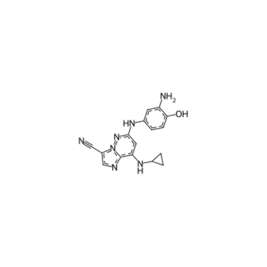 N#Cc1cnc2c(NC3CC3)cc(Nc3ccc(O)c(N)c3)nn12